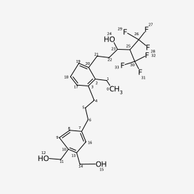 CCc1c(CCCc2ccc(CO)c(CO)c2)cccc1CCC(O)C(C(F)(F)F)C(F)(F)F